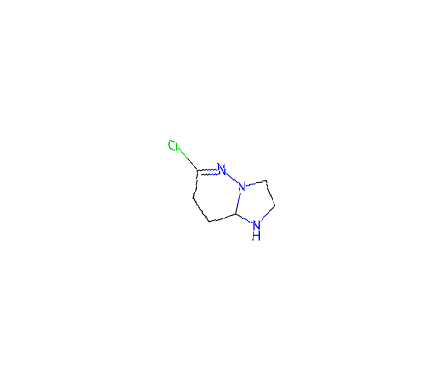 ClC1=NN2CCNC2CC1